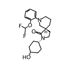 O=C1N([C@H]2CC[C@H](O)CC2)CC[C@@]12CCCN(c1ccccc1OC(F)F)C2